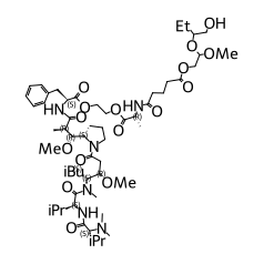 CCC(CO)OC(COC(=O)CCCC(=O)N[C@H](C)C(=O)OCCOC(=O)[C@H](Cc1ccccc1)NC(=O)[C@H](C)[C@@H](OC)[C@@H]1CCCN1C(=O)C[C@@H](OC)[C@H]([C@@H](C)CC)N(C)C(=O)[C@@H](NC(=O)[C@H](C(C)C)N(C)C)C(C)C)OC